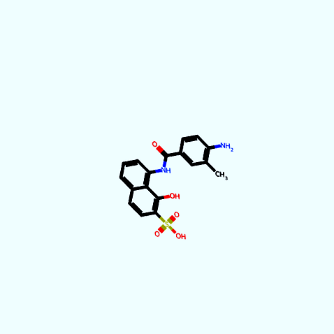 Cc1cc(C(=O)Nc2cccc3ccc(S(=O)(=O)O)c(O)c23)ccc1N